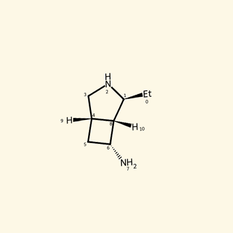 CC[C@@H]1NC[C@H]2C[C@@H](N)[C@H]21